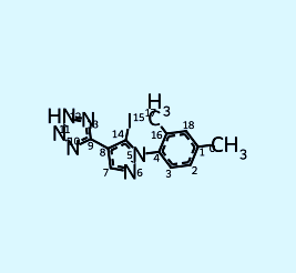 Cc1ccc(-n2ncc(-c3nn[nH]n3)c2I)c(C)c1